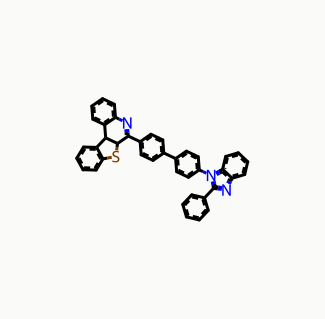 c1ccc(-c2nc3ccccc3n2-c2ccc(-c3ccc(C4=Nc5ccccc5C5c6ccccc6SC45)cc3)cc2)cc1